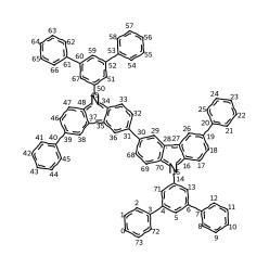 c1ccc(-c2cc(-c3ccccc3)cc(-n3c4ccc(-c5ccccc5)cc4c4cc(-c5ccc6c(c5)c5cc(-c7ccccc7)ccc5n6-c5cc(-c6ccccc6)cc(-c6ccccc6)c5)ccc43)c2)cc1